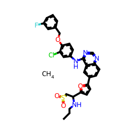 C.CCCNC(C=S(=O)=O)c1ccc(-c2ccc3ncnc(Nc4ccc(OCc5cccc(F)c5)c(Cl)c4)c3c2)o1